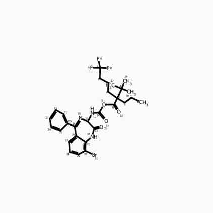 CCCC(CCCC(F)(F)F)(C(=O)OC(=O)NC1N=C(c2ccccc2)c2cccc(Br)c2NC1=O)C(C)(C)C